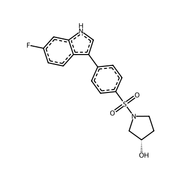 O=S(=O)(c1ccc(-c2c[nH]c3cc(F)ccc23)cc1)N1CC[C@H](O)C1